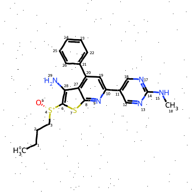 CCCC[S@+]([O-])c1sc2nc(-c3cnc(NC)nc3)cc(-c3ccccc3)c2c1N